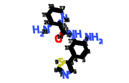 Nc1ccc(-c2cncs2)cc1NC(=O)c1ncccc1N